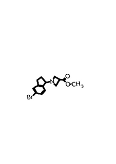 COC(=O)C1CN(C2CCc3cc(Br)ccc32)C1